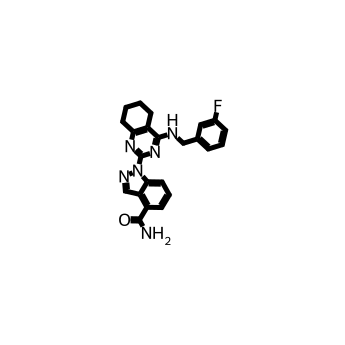 NC(=O)c1cccc2c1cnn2-c1nc2c(c(NCc3cccc(F)c3)n1)CCCC2